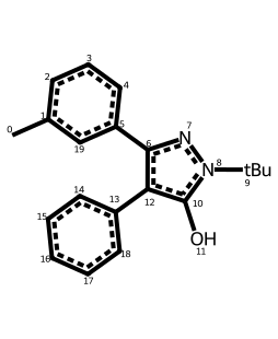 Cc1cccc(-c2nn(C(C)(C)C)c(O)c2-c2ccccc2)c1